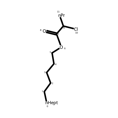 CCCCCCCCCCCCOC(=O)C(Cl)CCC